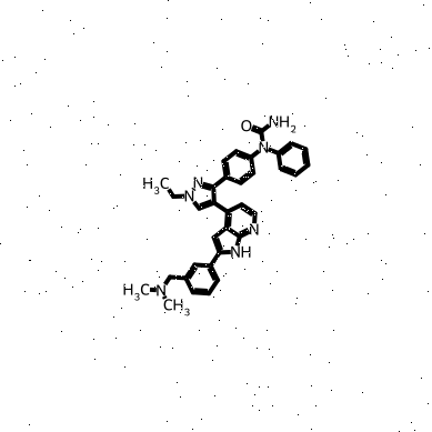 CCn1cc(-c2ccnc3[nH]c(-c4cccc(CN(C)C)c4)cc23)c(-c2ccc(N(C(N)=O)c3ccccc3)cc2)n1